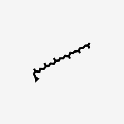 CC(C)=CCC/C(C)=C/CC/C(C)=C/CC/C=C(\C)CC/C=C(\C)CCC=C(C)CC1CC1